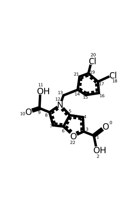 O=C(O)c1cc2c(cc(C(=O)O)n2Cc2ccc(Cl)c(Cl)c2)o1